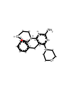 Nc1nc(N2CCOCC2)c(Cc2ccccc2)c(N2CCOCC2)n1